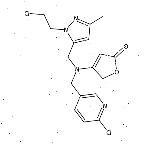 Cc1cc(CN(Cc2ccc(Cl)nc2)C2=CC(=O)OC2)n(CCCl)n1